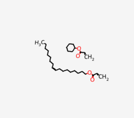 C=CC(=O)OC1CCCCC1.C=CC(=O)OCCCCCCCC/C=C\CCCCCCCC